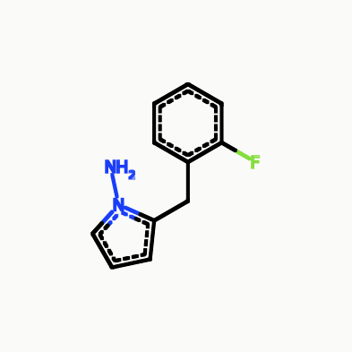 Nn1cccc1Cc1ccccc1F